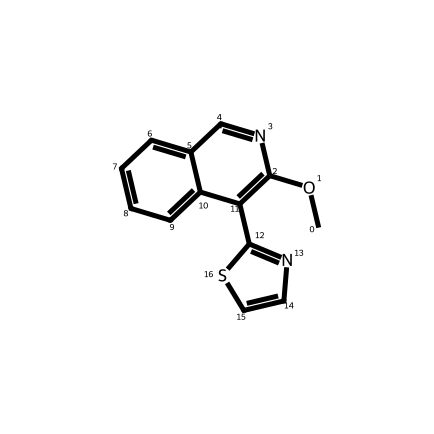 COc1n[c]c2ccccc2c1-c1nccs1